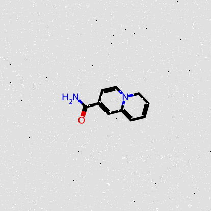 NC(=O)C1=CC2=CC=CCN2C=C1